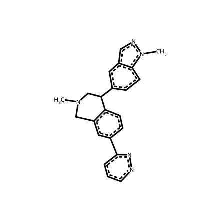 CN1Cc2cc(-c3cccnn3)ccc2C(c2ccc3c(cnn3C)c2)C1